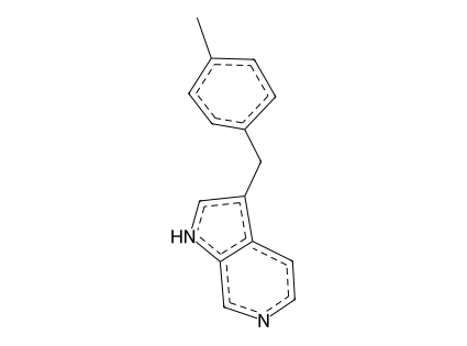 Cc1ccc(Cc2c[nH]c3cnccc23)cc1